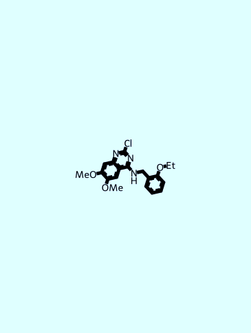 CCOc1ccccc1CNc1nc(Cl)nc2cc(OC)c(OC)cc12